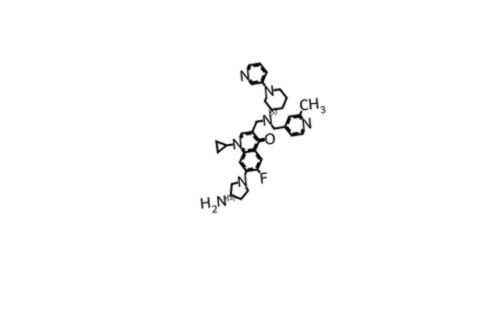 Cc1cc(CN(Cc2cn(C3CC3)c3cc(N4CC[C@H](N)C4)c(F)cc3c2=O)[C@H]2CCCN(c3cccnc3)C2)ccn1